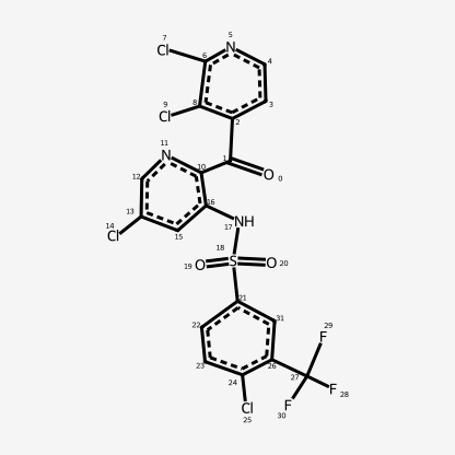 O=C(c1ccnc(Cl)c1Cl)c1ncc(Cl)cc1NS(=O)(=O)c1ccc(Cl)c(C(F)(F)F)c1